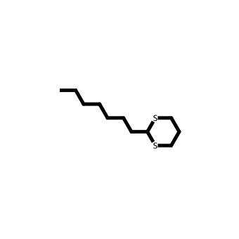 CCCCCCCC1SCCCS1